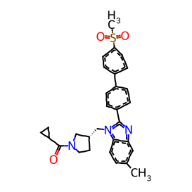 Cc1ccc2c(c1)nc(-c1ccc(-c3ccc(S(C)(=O)=O)cc3)cc1)n2C[C@@H]1CCN(C(=O)C2CC2)C1